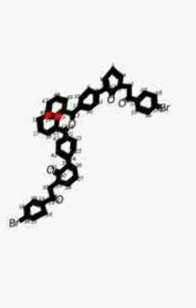 O=C(CC1C=CC=C(c2ccc(C(OC(c3ccccc3)c3ccc(C4=CC=CC(CC(=O)c5ccc(Br)cc5)C4=O)cc3)c3ccccc3)cc2)C1=O)c1ccc(Br)cc1